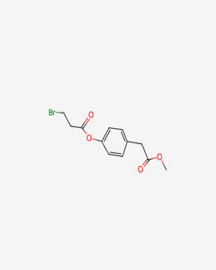 COC(=O)Cc1ccc(OC(=O)CCBr)cc1